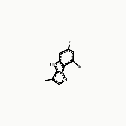 Cc1cnn2c1[nH]c1cc(F)cc(Br)c12